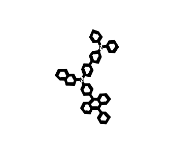 c1ccc(-c2c3ccccc3c(-c3ccc(N(c4ccc(-c5ccc(N(c6ccccc6)c6ccccc6)cc5)cc4)c4ccc5ccccc5c4)cc3)c3ccccc23)cc1